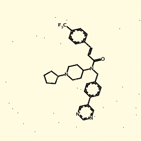 O=C(/C=C/c1ccc(C(F)(F)F)cc1)N(Cc1ccc(-c2cncnc2)cc1)C1CCN(C2CCCC2)CC1